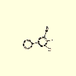 Cc1c(Cl)cc(-c2ccccc2)cc1C#N